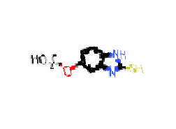 O=C(O)Oc1ccc2[nH]c(S)nc2c1